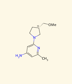 COC[C@H]1CCN(c2cc(N)cc(C)n2)C1